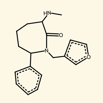 CNC1CCCC(c2ccccc2)N(Cc2ccoc2)C1=O